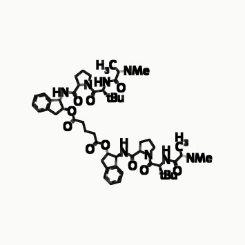 CN[C@@H](C)C(=O)N[C@H](C(=O)N1CCCC1C(=O)N[C@H]1c2ccccc2C[C@@H]1OC(=O)CCCC(=O)O[C@H]1Cc2ccccc2[C@@H]1NC(=O)C1CCCN1C(=O)[C@@H](NC(=O)[C@H](C)NC)C(C)(C)C)C(C)(C)C